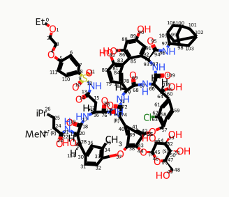 CCOCCOc1ccc(S(=O)(=O)NC(=O)C[C@@H]2NC(=O)[C@H](NC(=O)[C@@H](CC(C)C)NC)[C@H](O)c3ccc(c(C)c3)Oc3cc4cc(c3O[C@@H]3O[C@H](CO)[C@@H](O)[C@H](O)[C@H]3O)Oc3ccc(cc3Cl)[C@@H](O)[C@@H]3NC(=O)[C@H](NC(=O)[C@@H]4NC2=O)c2ccc(O)c(c2)-c2c(O)cc(O)cc2[C@@H](C(=O)NC2C4CC5CC(C4)CC2C5)NC3=O)cc1